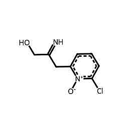 N=C(CO)Cc1cccc(Cl)[n+]1[O-]